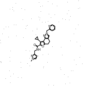 Cn1ccc(CNC(=O)c2oc3c(c2C2CC2)-c2nn(Cc4ccccn4)cc2CC3)n1